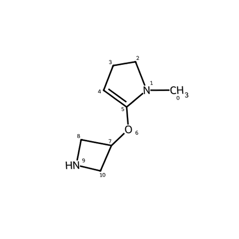 CN1CCC=C1OC1CNC1